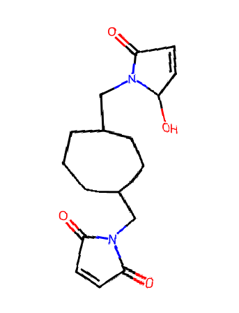 O=C1C=CC(=O)N1CC1CCCC(CN2C(=O)C=CC2O)CC1